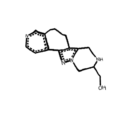 OCC1Cn2nc3c(c2CN1)CCc1cnccc1-3